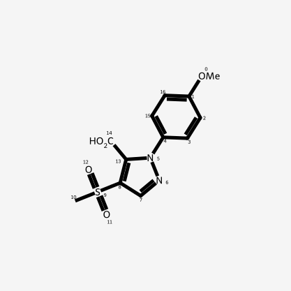 COc1ccc(-n2ncc(S(C)(=O)=O)c2C(=O)O)cc1